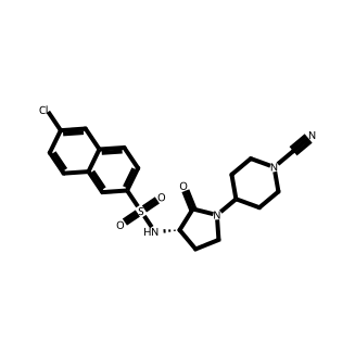 N#CN1CCC(N2CC[C@H](NS(=O)(=O)c3ccc4cc(Cl)ccc4c3)C2=O)CC1